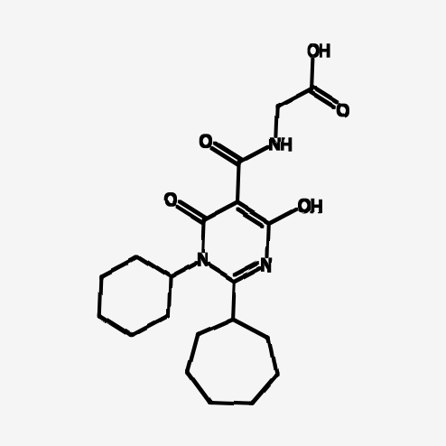 O=C(O)CNC(=O)c1c(O)nc(C2CCCCCC2)n(C2CCCCC2)c1=O